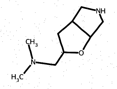 CN(C)C[C]1CC2CNCC2O1